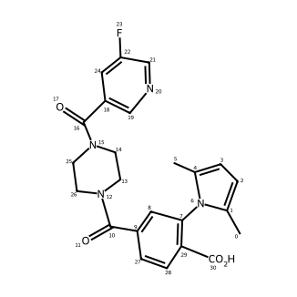 Cc1ccc(C)n1-c1cc(C(=O)N2CCN(C(=O)c3cncc(F)c3)CC2)ccc1C(=O)O